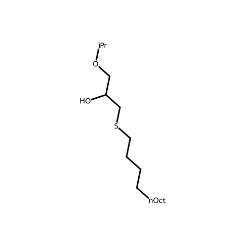 CCCCCCCCCCCCSCC(O)COC(C)C